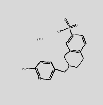 CCCc1ccc(CN2CCc3ccc(S(=O)(=O)Cl)cc3C2)cn1.Cl